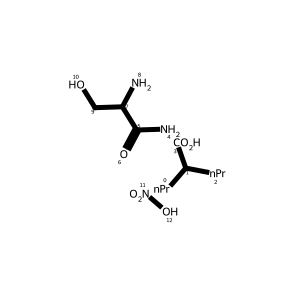 CCCC(CCC)C(=O)O.NC(=O)C(N)CO.O=[N+]([O-])O